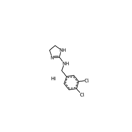 Clc1ccc(CNC2=NCCN2)cc1Cl.I